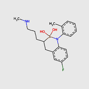 CNCCCC1Cc2cc(F)ccc2N(c2ccccc2C)S1(O)O